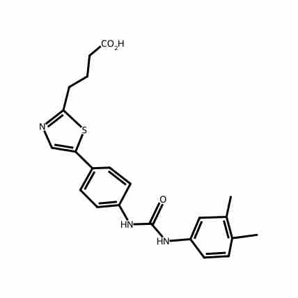 Cc1ccc(NC(=O)Nc2ccc(-c3cnc(CCCC(=O)O)s3)cc2)cc1C